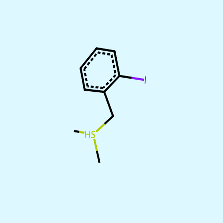 C[SH](C)Cc1ccccc1I